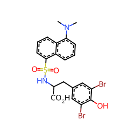 CN(C)c1cccc2c(S(=O)(=O)NC(Cc3cc(Br)c(O)c(Br)c3)C(=O)O)cccc12